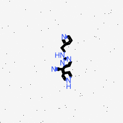 N#CC(=C1C=CNC=C1)c1ccnc(NCCc2cccnc2)n1